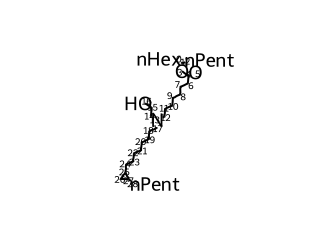 CCCCCCC(CCCCC)OC(=O)CCCCCCCN(CCO)CCCCCCCCC1CC1CCCCC